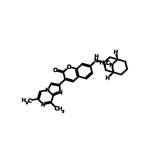 Cc1cn2cc(-c3cc4ccc(N[C@@H]5C[C@H]6CCC[C@@H](C5)N6C)cc4oc3=O)nc2c(C)n1